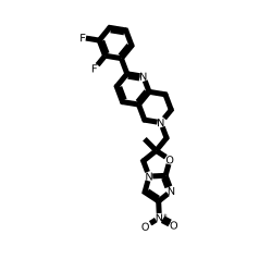 CC1(CN2CCc3nc(-c4cccc(F)c4F)ccc3C2)Cn2cc([N+](=O)[O-])nc2O1